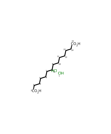 Cl.Cl.O=C(O)CCCCCCCCCCCCC(=O)O